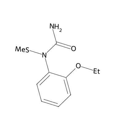 CCOc1ccccc1N(SC)C(N)=O